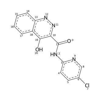 O=C(Nc1ccc(Cl)cn1)c1nnc2ccccc2c1O